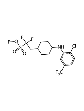 O=S(=O)(OF)C(F)(F)CC1CCC(Nc2cc(C(F)(F)F)ccc2Cl)CC1